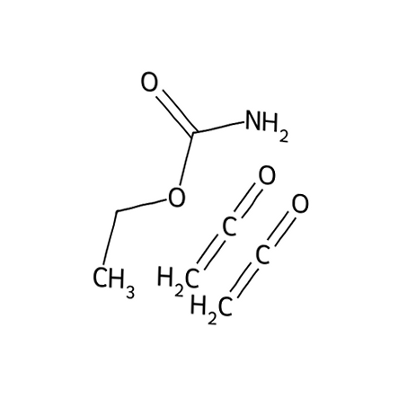 C=C=O.C=C=O.CCOC(N)=O